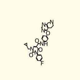 CN1CCc2c(ncnc2Oc2ccc(NC(=O)c3cn(CC4CC4)c(=O)n(-c4ccc(F)cc4)c3=O)cc2)C1